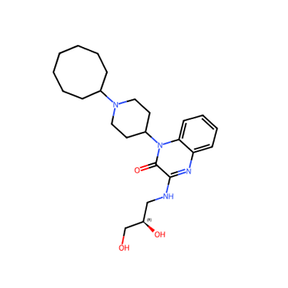 O=c1c(NC[C@@H](O)CO)nc2ccccc2n1C1CCN(C2CCCCCCC2)CC1